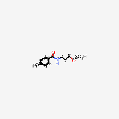 CC(C)c1ccc(C(=O)NCCCOS(=O)(=O)O)cc1